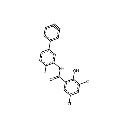 O=C(Nc1cc(-c2cc#ccc2)ccc1F)c1cc(Cl)cc(Cl)c1O